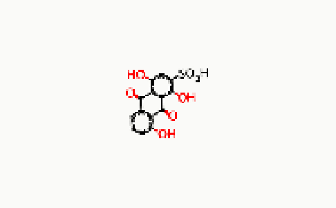 O=C1c2cccc(O)c2C(=O)c2c(O)c(S(=O)(=O)O)cc(O)c21